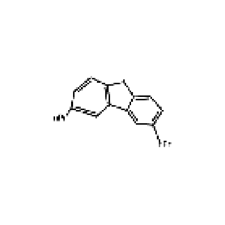 CCCc1ccc2c(c1)-c1cc(CCC)ccc1[CH]2